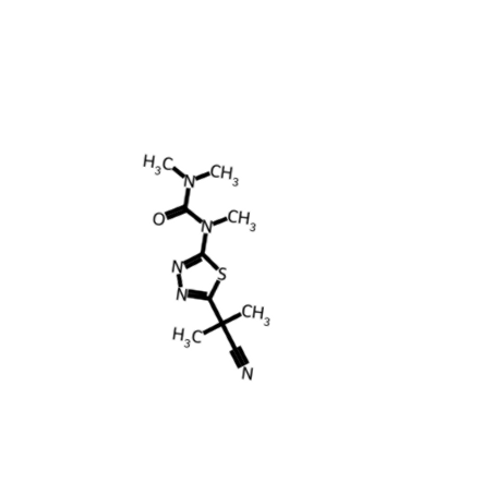 CN(C)C(=O)N(C)c1nnc(C(C)(C)C#N)s1